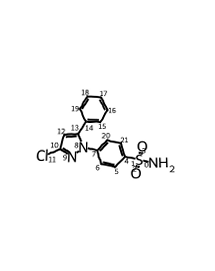 NS(=O)(=O)c1ccc(-n2nc(Cl)cc2-c2ccccc2)cc1